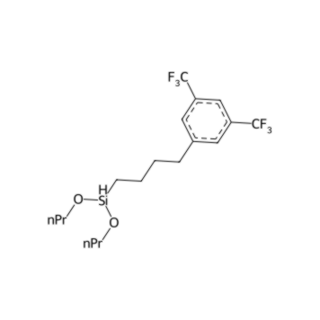 CCCO[SiH](CCCCc1cc(C(F)(F)F)cc(C(F)(F)F)c1)OCCC